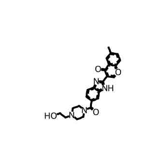 Cc1ccc2occ(-c3nc4ccc(C(=O)N5CCN(CCO)CC5)cc4[nH]3)c(=O)c2c1